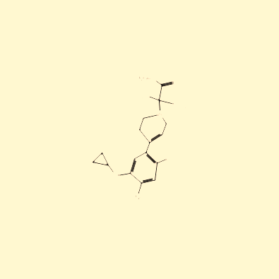 COC(=O)C(C)(C)N1CC=C(c2cc(OC3CC3)c([N+](=O)[O-])cc2C)CC1